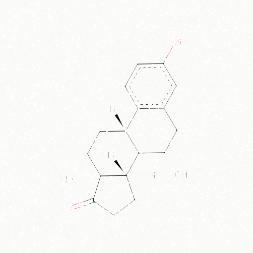 C[C@H]1Cc2cc(O)ccc2[C@H]2CC[C@]3(C)C(=O)CC[C@H]3[C@@H]21